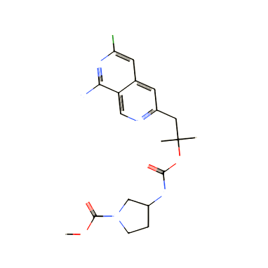 CC(C)(C)OC(=O)N1CCC(NC(=O)OC(C)(C)Cc2cc3cc(Cl)nc(N)c3cn2)C1